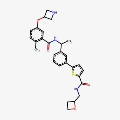 Cc1ccc(OC2CNC2)cc1C(=O)NC(C)c1cccc(-c2ccc(C(=O)NCC3CCO3)s2)c1